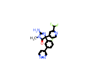 CN1C(=O)C(c2ccnc(C(F)F)c2)(c2cc(-c3ccnnc3)ccc2F)N=C1N